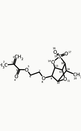 C=C(C)C(=O)OCCOC1C2OC3C1OS(=O)(=O)C3C2C